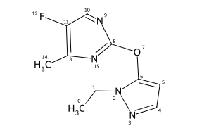 CCn1nccc1Oc1ncc(F)c(C)n1